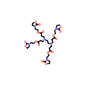 O=C(CCN(CCC(=O)OCCN1CCOC1=O)CCN(CCC(=O)OCCN1CCOC1=O)CCC(=O)OCCN1CCOC1=O)OCCN1CCOC1=O